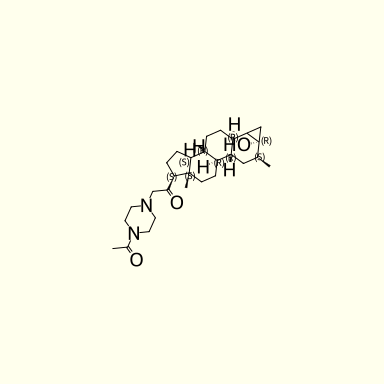 CC(=O)N1CCN(CC(=O)[C@H]2CC[C@H]3[C@@H]4CC[C@H]5C6C[C@@]6(O)[C@@H](C)C[C@@H]5[C@H]4CC[C@]23C)CC1